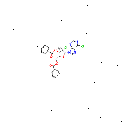 C[C@@]1(Cl)[C@H](OC(=O)c2ccccc2)[C@@H](COC(=O)c2ccccc2)O[C@H]1n1cnc2c(Cl)ncnc21